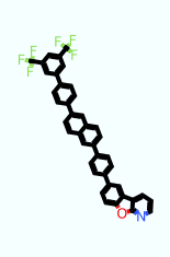 FC(F)(F)c1cc(-c2ccc(-c3ccc4cc(-c5ccc(-c6ccc7oc8ncccc8c7c6)cc5)ccc4c3)cc2)cc(C(F)(F)F)c1